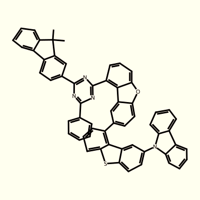 CC1(C)c2ccccc2-c2ccc(-c3nc(-c4ccccc4)nc(-c4cccc5oc6ccc(-c7cccc8sc9ccc(-n%10c%11ccccc%11c%11ccccc%11%10)cc9c78)cc6c45)n3)cc21